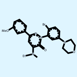 CCN(C)c1cc(-c2cccc(OC)c2)nn(-c2cc(N3CCOCC3)ccc2Br)c1=O